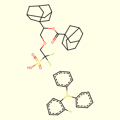 Fc1ccccc1[S+](c1ccccc1)c1ccccc1.O=C(OC(COCC(F)(F)S(=O)(=O)O)C12CC3CC(CC(C3)C1)C2)C12CC3CC(CC(C3)C1)C2